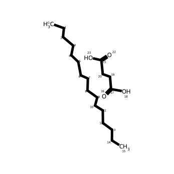 CCCCCCCCCCCCCCCC.O=C(O)CCC(=O)O